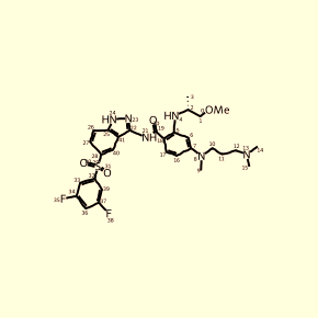 COC[C@@H](C)Nc1cc(N(C)CCCN(C)C)ccc1C(=O)Nc1n[nH]c2ccc(S(=O)(=O)c3cc(F)cc(F)c3)cc12